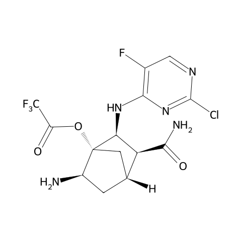 NC(=O)[C@H]1[C@@H]2C[C@@H](N)[C@](OC(=O)C(F)(F)F)(C2)[C@H]1Nc1nc(Cl)ncc1F